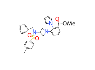 COC(=O)c1cccc(N2CC(N(Cc3ccccc3)S(=O)(=O)c3ccc(C)cc3)C2)c1-n1cccc1